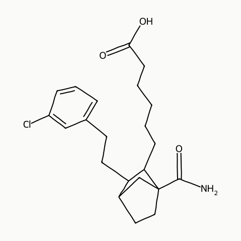 NC(=O)C12CCC(C1)C(CCc1cccc(Cl)c1)C2CCCCCC(=O)O